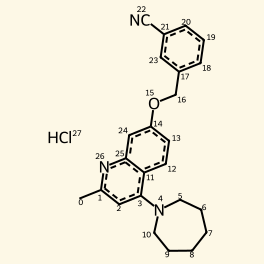 Cc1cc(N2CCCCCC2)c2ccc(OCc3cccc(C#N)c3)cc2n1.Cl